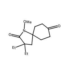 CCC1(CC)CC2(CCC(=O)CC2)N(OC)C1=O